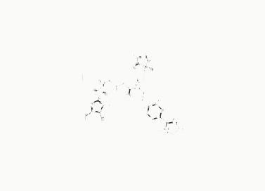 CN(CCc1ccc(C2=NCCN2)cc1)C(=O)CCCN(C)S(=O)(=O)c1cc(Br)c(Cl)s1.O=C(O)C(F)(F)F